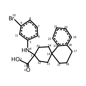 O=C(O)C1(Nc2cccc(Br)c2)CCC2(CCCc3ccccc32)CC1